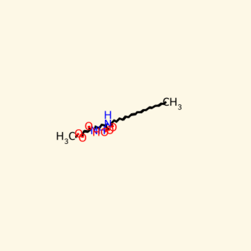 CCC=CCC=CCC=CCC=CCC=CCCCC(=O)NC(CCCNC(=O)C=CC(=O)OCC)C(=O)O